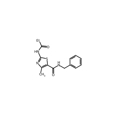 CCC(=O)Nc1nc(C)c(C(=O)NCc2ccccc2)s1